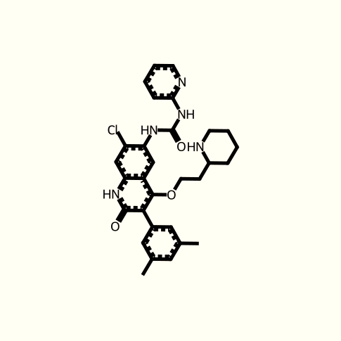 Cc1cc(C)cc(-c2c(OCCC3CCCCN3)c3cc(NC(=O)Nc4ccccn4)c(Cl)cc3[nH]c2=O)c1